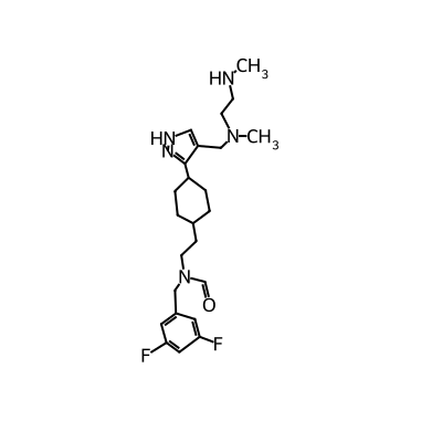 CNCCN(C)Cc1c[nH]nc1C1CCC(CCN(C=O)Cc2cc(F)cc(F)c2)CC1